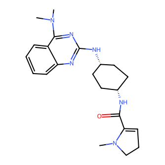 CN1CCC=C1C(=O)N[C@H]1CC[C@@H](Nc2nc(N(C)C)c3ccccc3n2)CC1